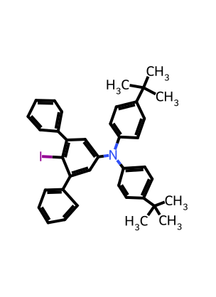 CC(C)(C)c1ccc(N(c2ccc(C(C)(C)C)cc2)c2cc(-c3ccccc3)c(I)c(-c3ccccc3)c2)cc1